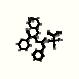 CC(=Cc1ccccc1)CN(CC1CCNCC1)C(=O)C1CCCCC1.O=C(O)C(F)(F)F